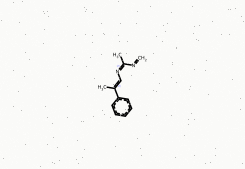 C=N/C(C)=N\C=C(/C)c1ccccc1